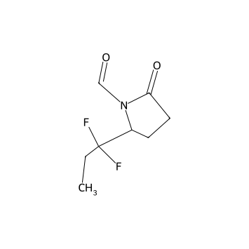 CCC(F)(F)C1CCC(=O)N1C=O